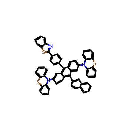 c1ccc2c(c1)Sc1ccccc1N2c1ccc2c(-c3ccc4ccccc4c3)c3cc(N4c5ccccc5Sc5ccccc54)ccc3c(-c3ccc(-c4nc5ccccc5s4)cc3)c2c1